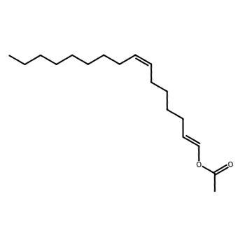 CCCCCCCC/C=C\CCCC/C=C/OC(C)=O